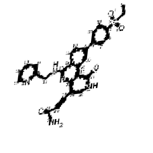 CCS(=O)(=O)c1ccc(-c2ccc3c(NCc4ccccn4)nc4c(C#CC(N)=O)c[nH]c(=O)c4c3c2)cc1